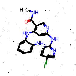 CNC(=O)c1cnc(Nc2ccc(F)cn2)cc1Nc1ccccc1N